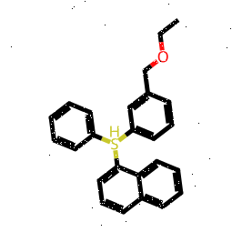 CCOCc1cccc([SH](c2ccccc2)c2cccc3ccccc23)c1